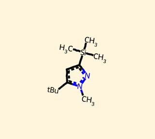 Cn1nc([Si](C)(C)C)cc1C(C)(C)C